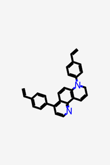 C=Cc1ccc(-c2ccnc3c4c(ccc23)N(c2ccc(C=C)cc2)CC=C4)cc1